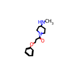 CNC1CCN(C(=O)CCOc2ccccc2)CC1